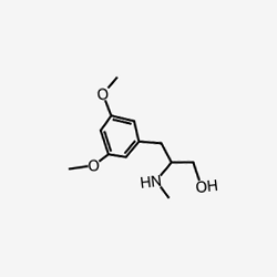 CNC(CO)Cc1cc(OC)cc(OC)c1